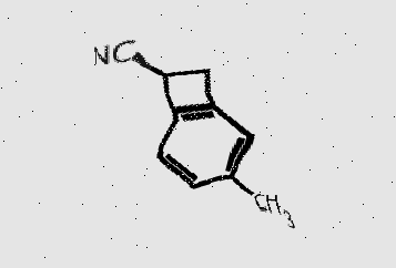 Cc1ccc2c(c1)CC2C#N